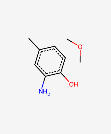 COC.Cc1ccc(O)c(N)c1